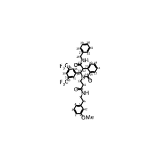 COc1cccc(CCNC(=O)CCN2C(=O)c3ccccc3C(C(=O)NCc3ccccc3)C2c2cc(C(F)(F)F)cc(C(F)(F)F)c2)c1